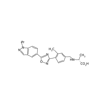 Cc1cc(CN[C@H](C)C(=O)O)ccc1-c1noc(-c2ccc3c(cnn3C(C)C)c2)n1